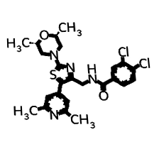 Cc1cc(-c2sc(N3C[C@@H](C)O[C@@H](C)C3)nc2CNC(=O)c2ccc(Cl)c(Cl)c2)cc(C)n1